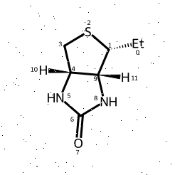 CC[C@H]1SC[C@H]2NC(=O)N[C@H]21